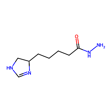 NNC(=O)CCCCC1CNC=N1